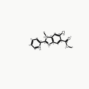 COC(=O)c1cc2nc(-c3ccccn3)n(C)c2cc1Cl